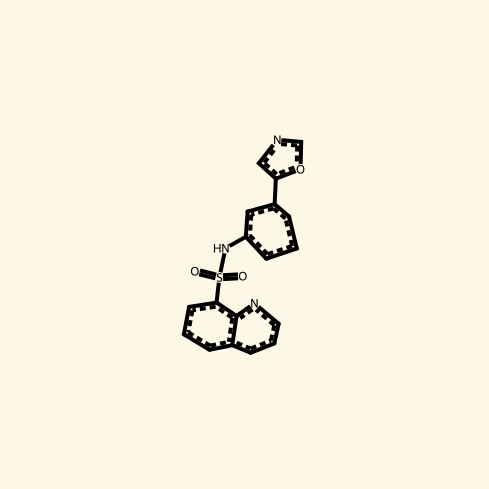 O=S(=O)(Nc1cccc(-c2cnco2)c1)c1cccc2cccnc12